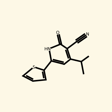 CC(C)c1cc(-c2cccs2)[nH]c(=O)c1C#N